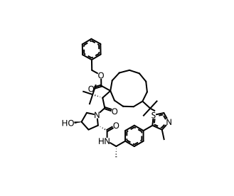 Cc1ncsc1-c1ccc([C@H](C)NC(=O)[C@@H]2C[C@@H](O)CN2C(=O)[C@H](C(C)(C)C)C2(C(=O)OCc3ccccc3)CCCCCCC(C(C)(C)C)CCC2)cc1